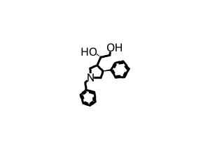 OC[C@@H](O)C1CN(Cc2ccccc2)C[C@@H]1c1ccccc1